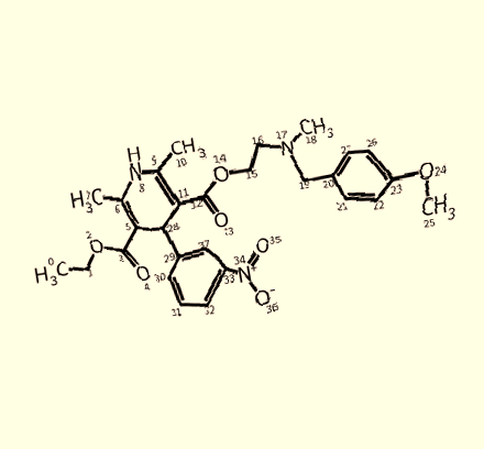 CCOC(=O)C1=C(C)NC(C)=C(C(=O)OCCN(C)Cc2ccc(OC)cc2)C1c1cccc([N+](=O)[O-])c1